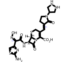 Nc1nc(/C(=N/O)C(=O)N[C@@H]2C(=O)N3C(C(=O)O)=C(/C=C4\CCN(C5CNNC5)C4=O)CS[C@H]23)cs1